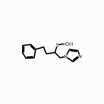 CCCCCCCCSC(CCc1ccccc1)Cn1ccnc1